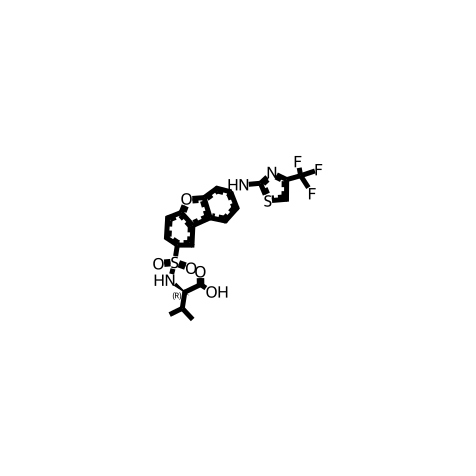 CC(C)[C@@H](NS(=O)(=O)c1ccc2oc3cc(Nc4nc(C(F)(F)F)cs4)ccc3c2c1)C(=O)O